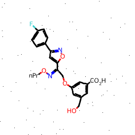 CCCON=C(COc1cc(CO)cc(C(=O)O)c1)c1cc(-c2ccc(F)cc2)no1